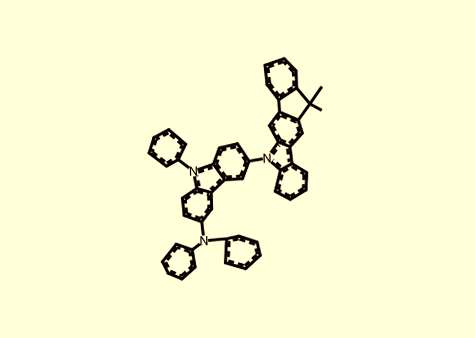 CC1(C)c2ccccc2-c2cc3c(cc21)c1ccccc1n3-c1ccc2c(c1)c1cc(N(c3ccccc3)c3ccccc3)ccc1n2-c1ccccc1